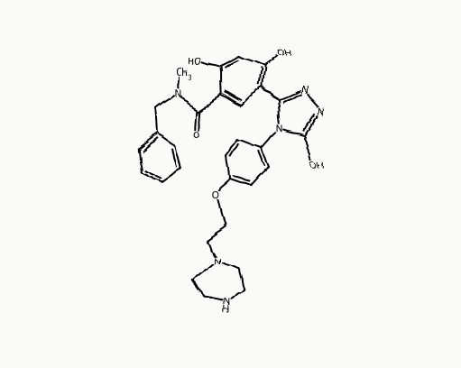 CN(Cc1ccccc1)C(=O)c1cc(-c2nnc(O)n2-c2ccc(OCCN3CCNCC3)cc2)c(O)cc1O